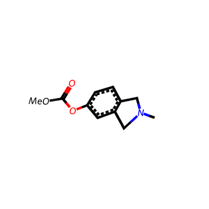 COC(=O)Oc1ccc2c(c1)CN(C)C2